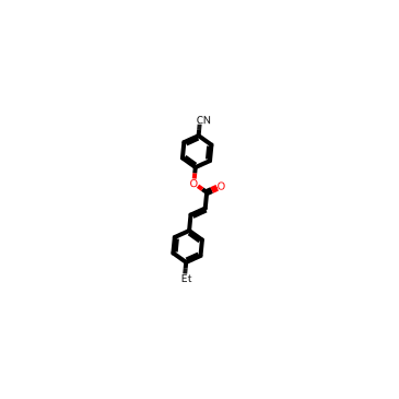 CCc1ccc(C=CC(=O)Oc2ccc(C#N)cc2)cc1